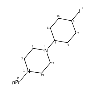 CCCN1CCN(C2CCC(I)CC2)CC1